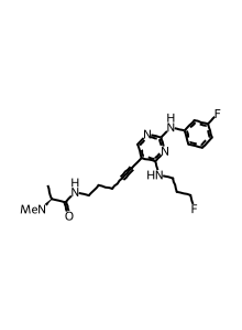 CN[C@@H](C)C(=O)NCCCC#Cc1cnc(Nc2cccc(F)c2)nc1NCCCF